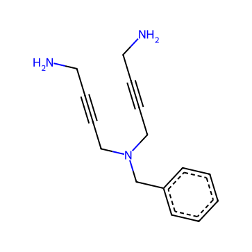 NCC#CCN(CC#CCN)Cc1ccccc1